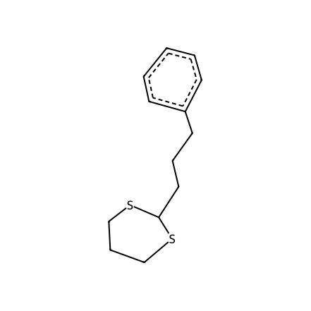 c1ccc(CCCC2SCCCS2)cc1